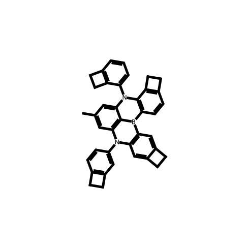 Cc1cc2c3c(c1)N(c1cccc4c1CC4)c1c(ccc4c1CC4)B3c1cc3c(cc1N2c1ccc2c(c1)CC2)CC3